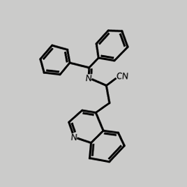 N#CC(Cc1ccnc2ccccc12)N=C(c1ccccc1)c1ccccc1